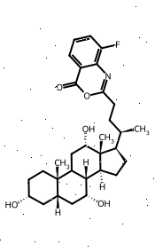 C[C@H](CCc1nc2c(F)cccc2c(=O)o1)[C@H]1CC[C@H]2[C@H]3C(C[C@H](O)[C@]12C)[C@@]1(C)CC[C@@H](O)C[C@H]1C[C@H]3O